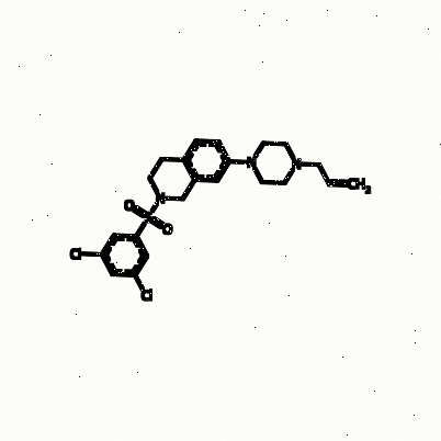 C=CCN1CCN(c2ccc3c(c2)CN(S(=O)(=O)c2cc(Cl)cc(Cl)c2)CC3)CC1